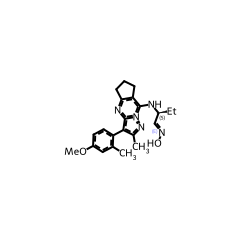 CC[C@@H](/C=N/O)Nc1c2c(nc3c(-c4ccc(OC)cc4C)c(C)nn13)CCC2